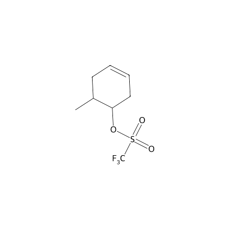 CC1CC=CCC1OS(=O)(=O)C(F)(F)F